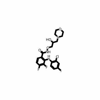 O=C(NOCC(O)CN1CCOCC1)c1ccc(F)c(F)c1Nc1ccc(I)cc1Cl